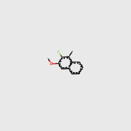 COc1cc2ccccc2c(C)c1F